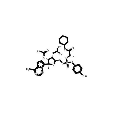 CC(C)C(=O)O[C@@H]1[C@H](OC(O)C(C)C)[C@@H](COP(=O)(N[C@@H](C)C(=O)OC2CCCCC2)Oc2ccc(C(C)(C)C)cc2)O[C@@]1(C)c1ccc2c(N)ncnn12